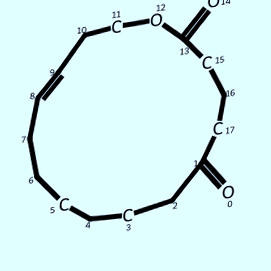 O=C1CCCCCCC=CCCOC(=O)CCC1